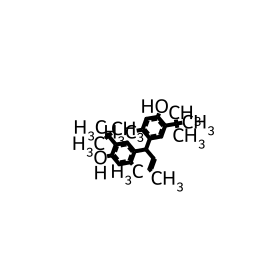 CC=CC(c1cc(C(C)(C)C)c(O)cc1C)c1cc(C(C)(C)C)c(O)cc1C